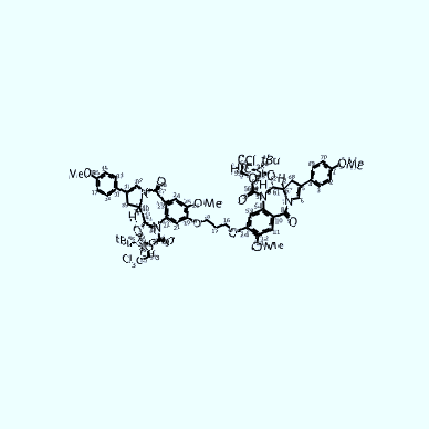 COc1ccc(C2=CN3C(=O)c4cc(OC)c(OCCCOc5cc6c(cc5OC)C(=O)N5C=C(c7ccc(OC)cc7)C[C@H]5[C@H](O[Si](C)(C)C(C)(C)C)N6C(=O)OCC(Cl)(Cl)Cl)cc4N(C(=O)OCC(Cl)(Cl)Cl)[C@H](O[Si](C)(C)C(C)(C)C)[C@@H]3C2)cc1